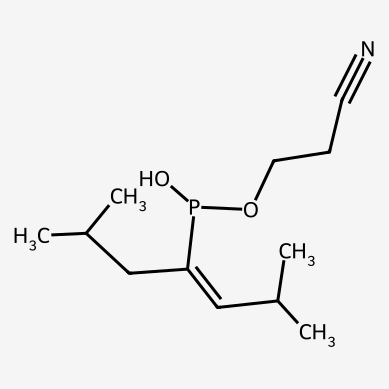 CC(C)/C=C(/CC(C)C)P(O)OCCC#N